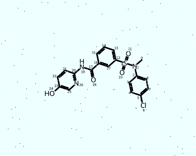 CN(c1ccc(Cl)cc1)S(=O)(=O)c1cccc(C(=O)Nc2ccc(O)cn2)c1